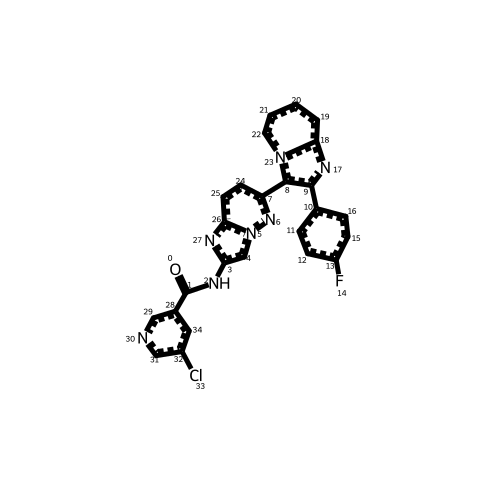 O=C(Nc1cn2nc(-c3c(-c4ccc(F)cc4)nc4ccccn34)ccc2n1)c1cncc(Cl)c1